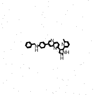 Cc1cccc(C2NNCC2c2ccc3ncc(C4=CCC(NCc5ccccc5)CC4)cc3n2)n1